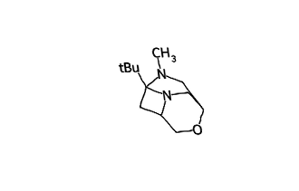 CN1CC2CN3C(CO2)CC13C(C)(C)C